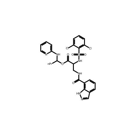 CCCC(Nc1ccccn1)OC(=O)C(CNC(=O)c1cccc2cn[nH]c12)NS(=O)(=O)c1c(Cl)cccc1Cl